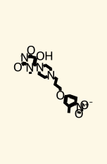 Cc1cc(OCCCN2CCN(c3c(O)c(=O)n(C)c(=O)n3C)CC2)ccc1[N+](=O)[O-]